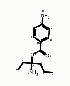 CCCC(N)(CC)OC(=O)c1ccc(N)cc1